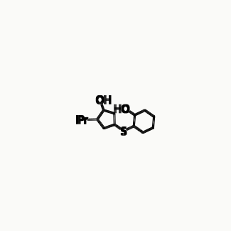 CC(C)C1CC(SC2CCCCC2O)CC1O